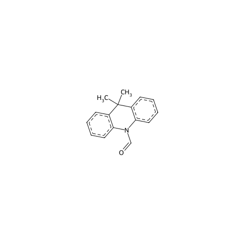 CC1(C)c2ccccc2N(C=O)c2ccccc21